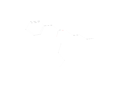 CCCCO[SiH](Cc1ccccc1)OCCCC